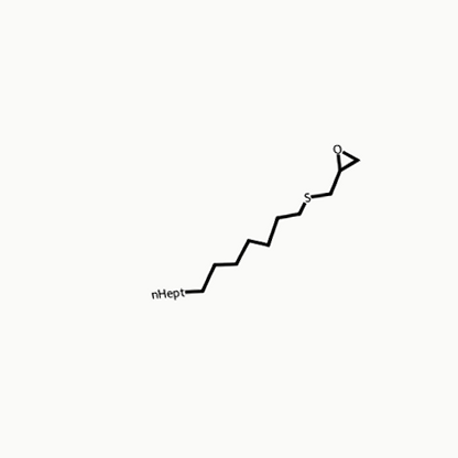 CCCCCCCCCCCCCCSCC1CO1